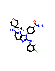 CC1(Nc2ncc3nc(Nc4cccc(Cl)c4F)n([C@H]4CC[C@@H](C(N)=O)CC4)c3n2)CCOCC1